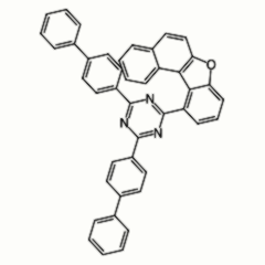 c1ccc(-c2ccc(-c3nc(-c4ccc(-c5ccccc5)cc4)nc(-c4cccc5oc6ccc7ccccc7c6c45)n3)cc2)cc1